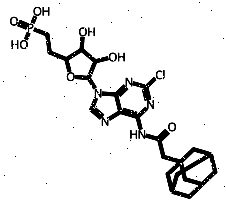 O=C(CC12CC3CC(CC(C3)C1)C2)Nc1nc(Cl)nc2c1ncn2C1OC(CCP(=O)(O)O)C(O)C1O